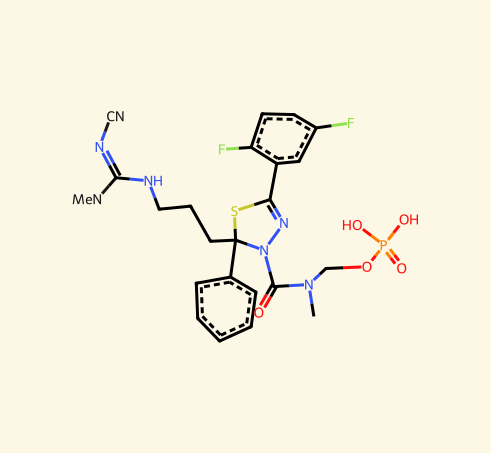 CN/C(=N/C#N)NCCCC1(c2ccccc2)SC(c2cc(F)ccc2F)=NN1C(=O)N(C)COP(=O)(O)O